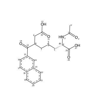 CC(=O)N[C@@H](CSCC(CC(=O)O)C(=O)c1ccc2ccccc2c1)C(=O)O